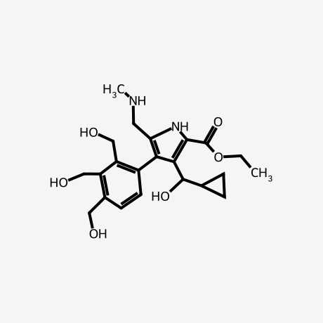 CCOC(=O)c1[nH]c(CNC)c(-c2ccc(CO)c(CO)c2CO)c1C(O)C1CC1